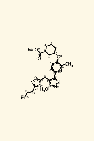 COC(=O)[C@H]1CCC[C@H](Oc2ccc(-c3nnn(C)c3Cc3nc(CCC(C)C)no3)nc2C)C1